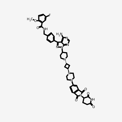 COc1ccc(F)cc1C(=O)NCc1ccc(-c2nn(C3CCN([C@H]4C[C@H](N5CCN(c6ccc7c(c6)C(=O)N(C6CCC(=O)NC6=O)C7=O)CC5)C4)CC3)c3ncnc(N)c23)cc1